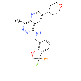 Cc1nnc(NCc2cccc3c2OCC3(F)P)c2cc(C3CCOCC3)cnc12